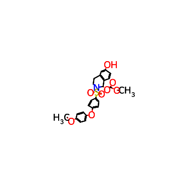 COC(=O)OC1c2ccc(O)cc2CCN1S(=O)(=O)c1ccc(Oc2ccc(OC)cc2)cc1